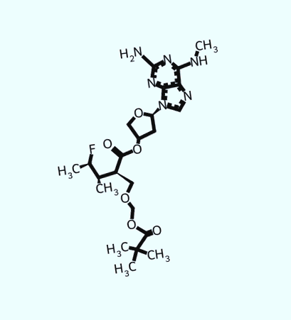 CNc1nc(N)nc2c1ncn2[C@H]1CC(OC(=O)[C@@H](COCOC(=O)C(C)(C)C)[C@@H](C)[C@@H](C)F)CO1